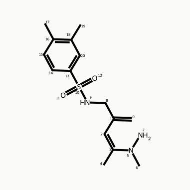 C=C(/C=C(/C)N(C)N)CNS(=O)(=O)c1ccc(C)c(C)c1